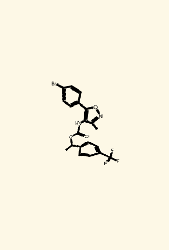 Cc1noc(-c2ccc(Br)cc2)c1NC(=O)OC(C)c1ccc(C(F)(F)F)cc1